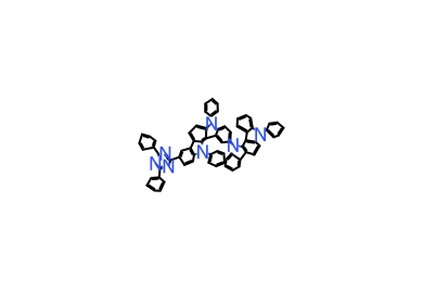 c1ccc(-c2nc(-c3ccccc3)nc(-c3ccc4c(c3)c3ccc5c(c6cc(-n7c8ccccc8c8ccc9c(c%10ccccc%10n9-c9ccccc9)c87)ccc6n5-c5ccccc5)c3n4-c3ccccc3)n2)cc1